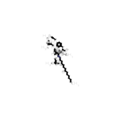 CC#CCOc1ccc(C[C@H](NC(=O)[C@@H](/C=C/CCCCCCC(=O)CCCCCCC)[C@@](O)(CC(=O)OCc2oc(=O)oc2C)C(=O)OCc2oc(=O)oc2C)C(=O)OC)cc1